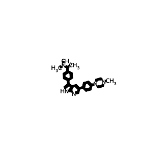 CC(c1ccc(-c2c[nH]c3ncc(-c4ccc(N5CCN(C)CC5)cc4)cc23)cc1)N(C)C